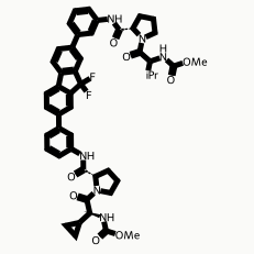 COC(=O)NC(C(=O)N1CCC[C@H]1C(=O)Nc1cccc(-c2ccc3c(c2)C(F)(F)c2cc(-c4cccc(NC(=O)[C@@H]5CCCN5C(=O)[C@@H](NC(=O)OC)C5CC5)c4)ccc2-3)c1)C(C)C